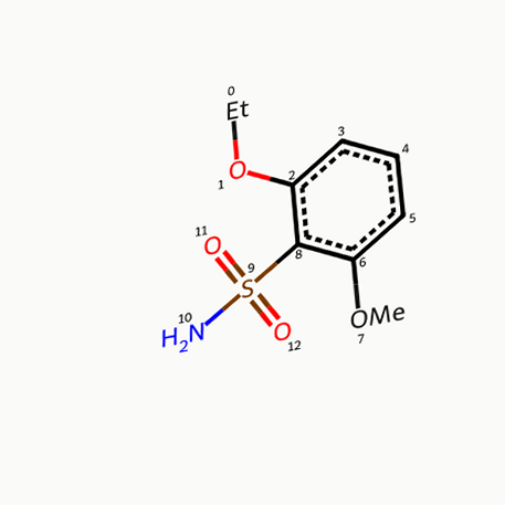 CCOc1cccc(OC)c1S(N)(=O)=O